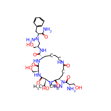 CC(O)[C@H]1C(=O)N[C@@H](CO)C(=O)N[C@H](C(=O)N[C@@H](CO)CN(N)[C@@H](Cc2ccccc2)C(N)=O)CCCCNC(=O)CC[C@H](N(N)C(=O)[C@@H](N)CO)C(=O)N1C